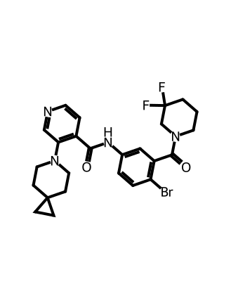 O=C(Nc1ccc(Br)c(C(=O)N2CCCC(F)(F)C2)c1)c1ccncc1N1CCC2(CC1)CC2